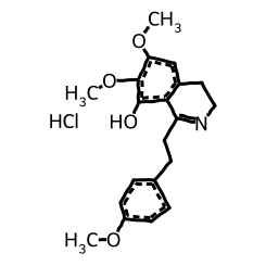 COc1ccc(CCC2=NCCc3cc(OC)c(OC)c(O)c32)cc1.Cl